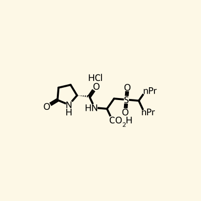 CCCC(CCC)S(=O)(=O)CC(NC(=O)[C@H]1CCC(=O)N1)C(=O)O.Cl